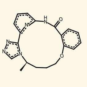 C[C@@H]1CCCOc2ccccc2C(=O)Nc2cccc(n2)-c2nncn21